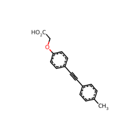 Cc1ccc(C#Cc2ccc(OCC(=O)O)cc2)cc1